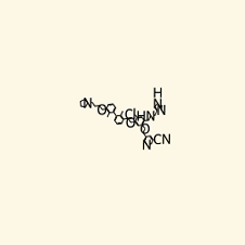 Cc1c(COc2cc(OCc3cncc(C#N)c3)c(CNCc3c[nH]cn3)cc2Cl)cccc1-c1cccc(OCCCN2CCCC2)c1C